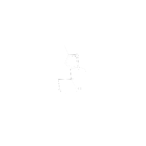 Cc1cc(C(O)CN)n(C)n1